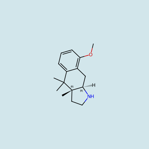 COc1cccc2c1C[C@H]1NCC[C@]1(C)C2(C)C